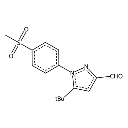 CC(C)(C)c1cc(C=O)nn1-c1ccc(S(C)(=O)=O)cc1